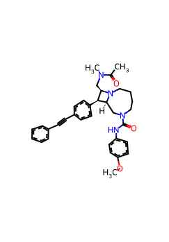 COc1ccc(NC(=O)N2CCCCN3[C@H](CN(C)C(C)=O)[C@H](c4ccc(C#Cc5ccccc5)cc4)[C@@H]3C2)cc1